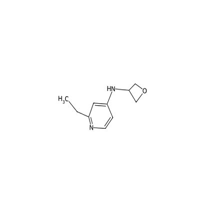 CCc1cc(NC2COC2)ccn1